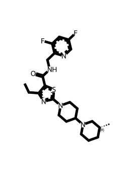 CCc1nc(N2CCC(N3CCC[C@@H](C)C3)CC2)sc1C(=O)NCc1ncc(F)cc1F